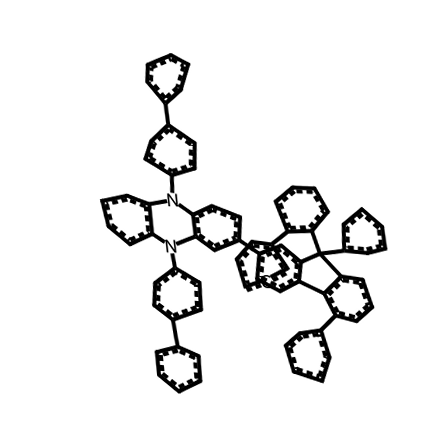 c1ccc(-c2ccc(N3c4ccccc4N(c4ccc(-c5ccccc5)cc4)c4cc(-c5ccc6c(c5)C(c5ccccc5)(c5ccccc5-c5ccccc5)c5cccc(-c7ccccc7)c5-6)ccc43)cc2)cc1